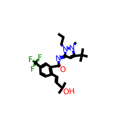 CCCn1/c(=N/C(=O)c2cc(C(F)(F)F)ccc2/C=C/C(C)(C)O)cc(C(C)(C)C)n1C